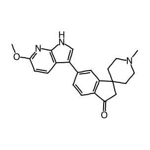 COc1ccc2c(-c3ccc4c(c3)C3(CCN(C)CC3)CC4=O)c[nH]c2n1